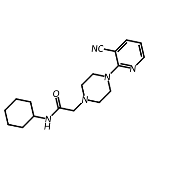 N#Cc1cccnc1N1CCN(CC(=O)NC2CCCCC2)CC1